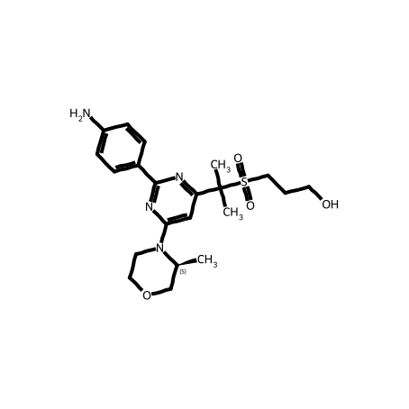 C[C@H]1COCCN1c1cc(C(C)(C)S(=O)(=O)CCCO)nc(-c2ccc(N)cc2)n1